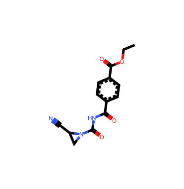 CCOC(=O)c1ccc(C(=O)NC(=O)N2CC2C#N)cc1